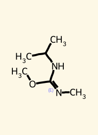 C/N=C(\NC(C)C)OC